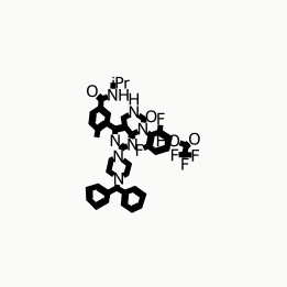 Cc1ccc(C(=O)NC(C)C)cc1-c1nc(N2CCN(C(c3ccccc3)c3ccccc3)CC2)nc2c1CNC(=O)N2c1c(F)cccc1F.O=C(O)C(F)(F)F